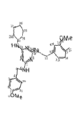 COc1ccc(CNc2nc(NCc3ccc(C)c(OC)c3)nc(NC3CCCCC3)n2)cc1